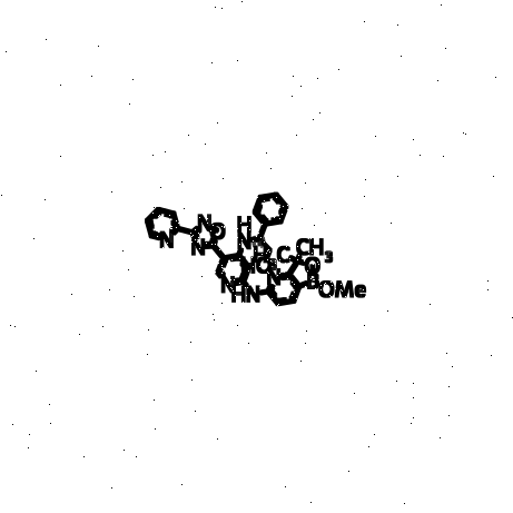 COB1OC(C)(C)c2nc(Nc3cc(N[C@H](CO)c4ccccc4)c(-c4nc(-c5ccccn5)no4)cn3)ccc21